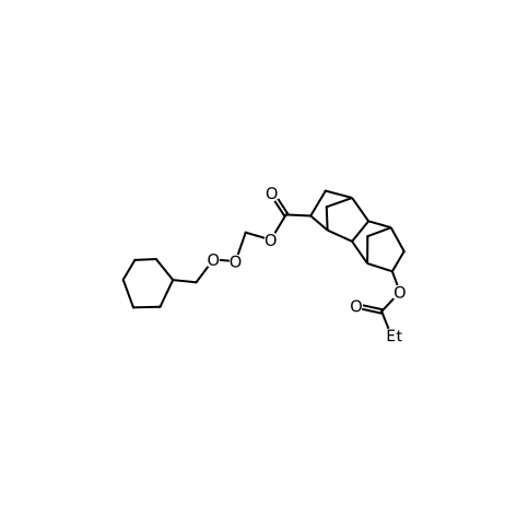 CCC(=O)OC1CC2CC1C1C3CC(CC3C(=O)OCOOCC3CCCCC3)C21